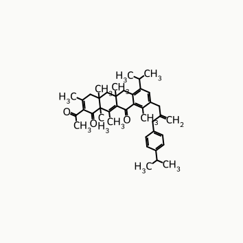 C=C(Cc1ccc(C(C)C)cc1)Cc1cc(C(C)C)c2c(c1C)C(=O)C1=C(C)C3(C)C(=O)C(C(C)=O)=C(C)CC3(C)CC1(C)C2